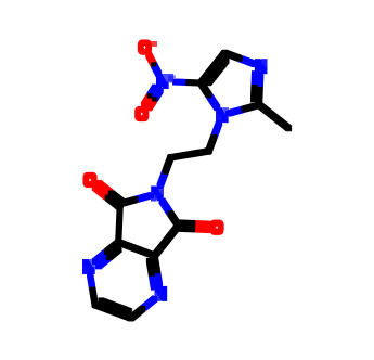 Cc1ncc([N+](=O)[O-])n1CCN1C(=O)c2nccnc2C1=O